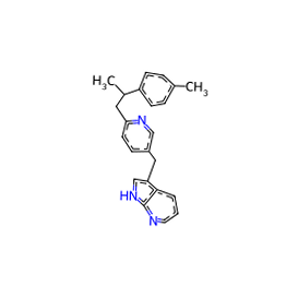 Cc1ccc(C(C)Cc2ccc(Cc3c[nH]c4ncccc34)cn2)cc1